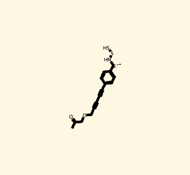 CC(=O)COCC#CC#Cc1ccc([C@@H](C)NSS)cc1